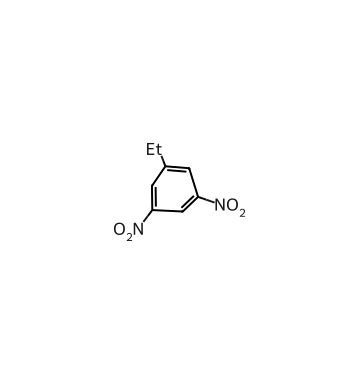 [CH2]Cc1cc([N+](=O)[O-])cc([N+](=O)[O-])c1